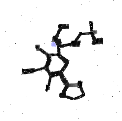 C[C@@H](O)CN/C(=N\O)c1cc(C2OCCO2)c(F)c(C#N)c1F